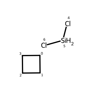 C1CCC1.Cl[SiH2]Cl